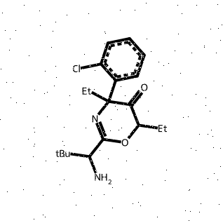 CCC1OC(C(N)C(C)(C)C)=NC(CC)(c2ccccc2Cl)C1=O